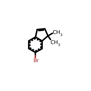 CC1(C)C=Cc2ccc(Br)cc21